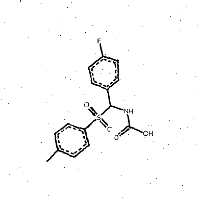 Cc1ccc(S(=O)(=O)C(NC(=O)O)c2ccc(F)cc2)cc1